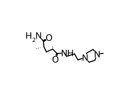 C[C@@H](C[CH]C(=O)NCCCN1CCN(C)CC1)C(N)=O